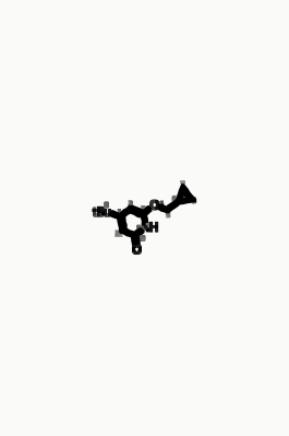 CC(C)(C)c1cc(OCC2CC2)[nH]c(=O)c1